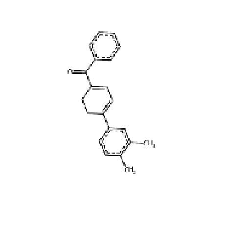 Cc1ccc(C2=CC=C(C(=O)c3ccccc3)CC2)cc1C